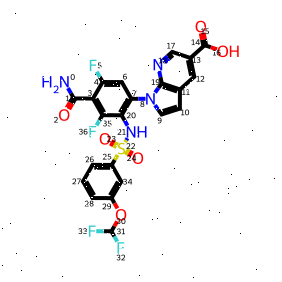 NC(=O)c1c(F)cc(-n2ccc3cc(C(=O)O)cnc32)c(NS(=O)(=O)c2cccc(OC(F)F)c2)c1F